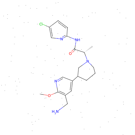 COc1ncc(C2CCCN([C@@H](C)C(=O)Nc3ccc(Cl)cn3)C2)cc1CN